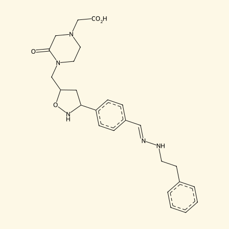 O=C(O)CN1CCN(CC2CC(c3ccc(C=NNCCc4ccccc4)cc3)NO2)C(=O)C1